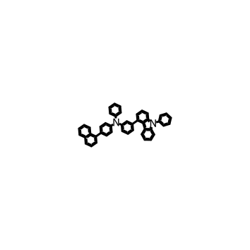 c1ccc(N(c2ccc(-c3cccc4ccccc34)cc2)c2cccc(-c3cccc4c3c3ccccc3n4-c3ccccc3)c2)cc1